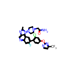 Cc1nc2cnc3cc(F)c(-c4ccc(Oc5nccc(C(F)(F)F)n5)cc4Cl)cc3c2n1N1CCN(CC(N)=O)CC1